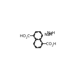 O=C(O)c1cccc2c(C(=O)O)cccc12.[NaH].[NaH]